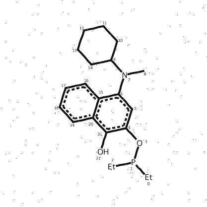 CCP(CC)Oc1cc(N(C)C2CCCCC2)c2ccccc2c1O